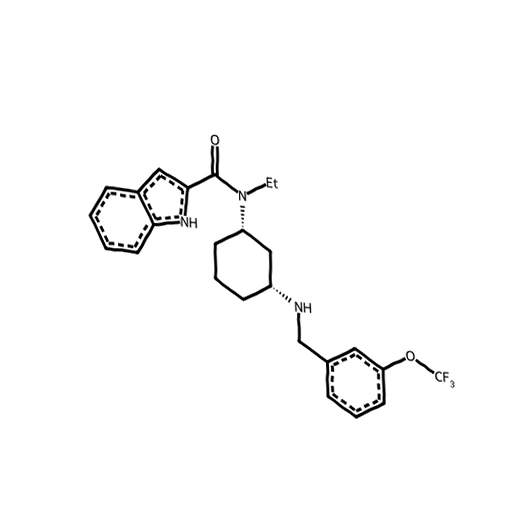 CCN(C(=O)c1cc2ccccc2[nH]1)[C@H]1CCC[C@@H](NCc2cccc(OC(F)(F)F)c2)C1